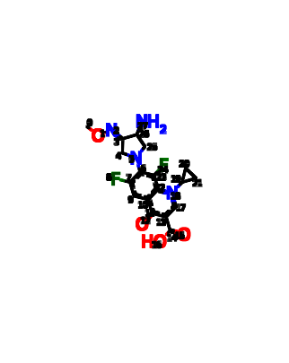 CO/N=C1\CN(c2c(F)cc3c(=O)c(C(=O)O)cn(C4CC4)c3c2F)CC1N